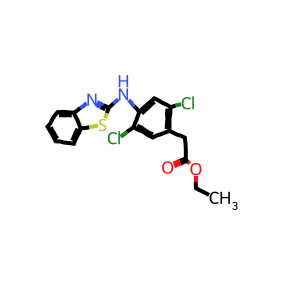 CCOC(=O)Cc1cc(Cl)c(Nc2nc3ccccc3s2)cc1Cl